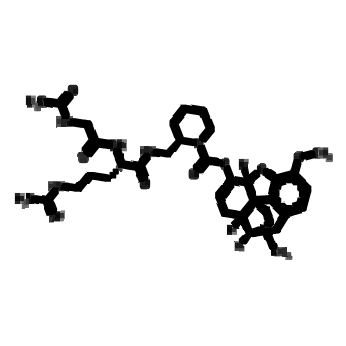 COc1ccc2c3c1O[C@H]1C(OC(=O)N4CCCC[C@@H]4CNC(=O)[C@H](CCCNC(=N)N)NC(=O)CNC(C)=O)=CC[C@H]4[C@@H](C2)N(C)CC[C@]314